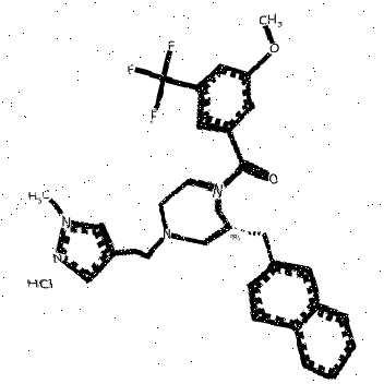 COc1cc(C(=O)N2CCN(Cc3cnn(C)c3)C[C@H]2Cc2ccc3ccccc3c2)cc(C(F)(F)F)c1.Cl